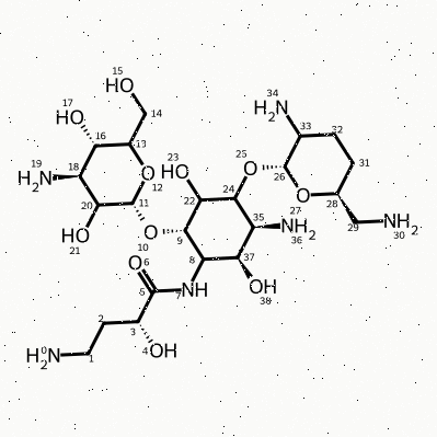 NCC[C@@H](O)C(=O)NC1[C@H](O[C@H]2OC(CO)[C@@H](O)[C@H](N)C2O)C(O)C(O[C@H]2O[C@H](CN)CCC2N)[C@@H](N)[C@H]1O